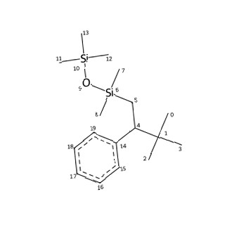 CC(C)(C)C(C[Si](C)(C)O[Si](C)(C)C)c1ccccc1